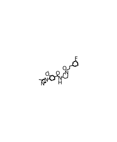 COc1cc(C(=O)NC2CCCN(C(=O)CCc3cccc(F)c3)C2)ccc1-n1cnc(C)c1